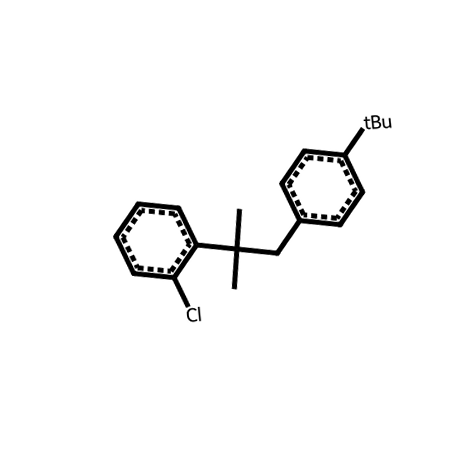 CC(C)(C)c1ccc(CC(C)(C)c2ccccc2Cl)cc1